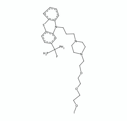 FC(P)(P)c1ccc2c(c1)N(CCCN1CCN(CCOCCOCCOI)CC1)c1ccccc1S2